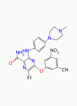 CCc1nc(C(N)=O)c(Nc2ccc(N3CCN(C)CC3)cc2)nc1Oc1cc(C#N)cc([N+](=O)[O-])c1